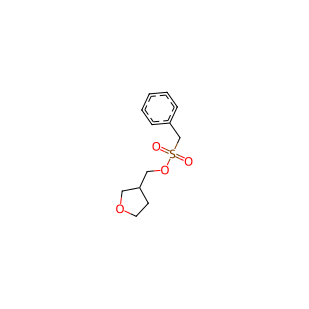 O=S(=O)(Cc1ccccc1)OCC1CCOC1